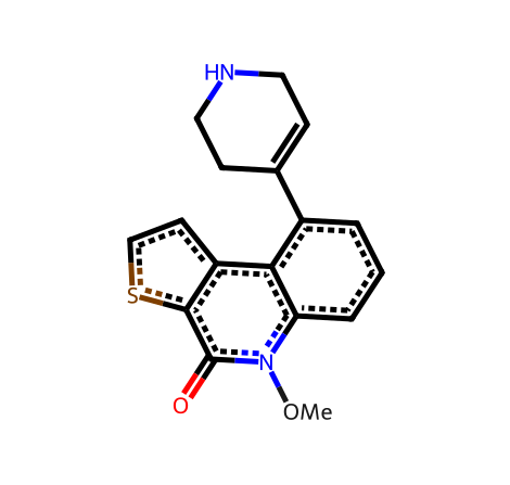 COn1c(=O)c2sccc2c2c(C3=CCNCC3)cccc21